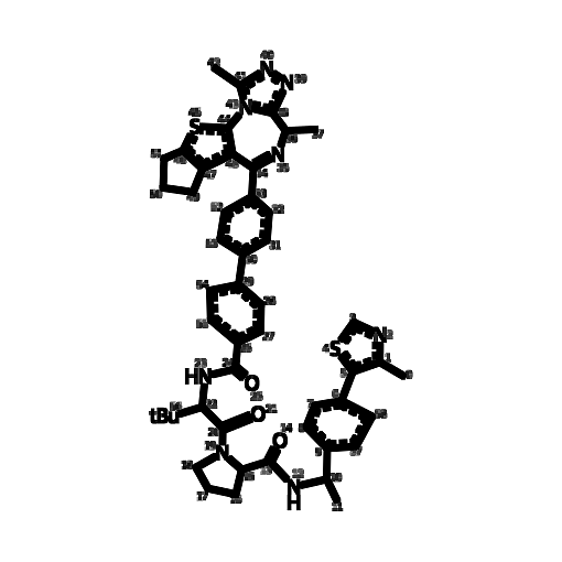 Cc1ncsc1-c1ccc(C(C)NC(=O)C2CCCN2C(=O)C(NC(=O)c2ccc(-c3ccc(C4=NC(C)c5nnc(C)n5-c5sc6c(c54)CCC6)cc3)cc2)C(C)(C)C)cc1